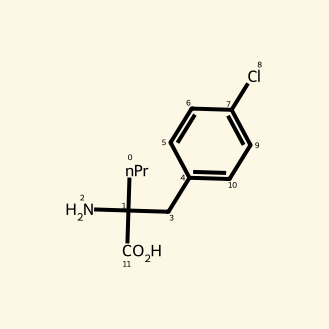 CCCC(N)(Cc1ccc(Cl)cc1)C(=O)O